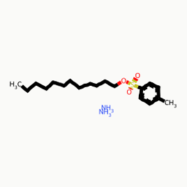 CCCCCCCCCCCCOS(=O)(=O)c1ccc(C)cc1.N.N